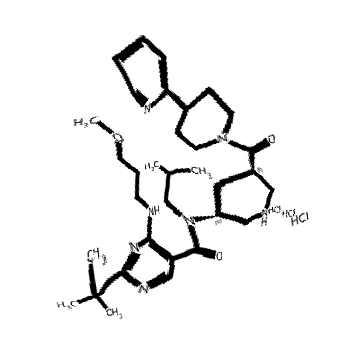 COCCCNc1nc(C(C)(C)C)ncc1C(=O)N(CC(C)C)[C@@H]1CNC[C@H](C(=O)N2CCC(c3ccccn3)CC2)C1.Cl.Cl.Cl